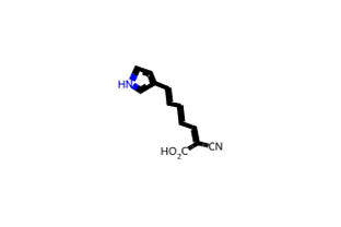 N#CC(=CC=CC=Cc1cc[nH]c1)C(=O)O